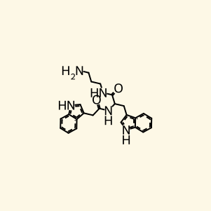 NCCCNC(=O)C(Cc1c[nH]c2ccccc12)NC(=O)Cc1c[nH]c2ccccc12